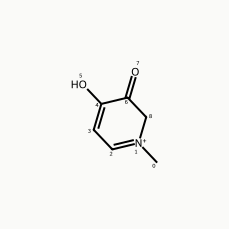 C[N+]1=CC=C(O)C(=O)C1